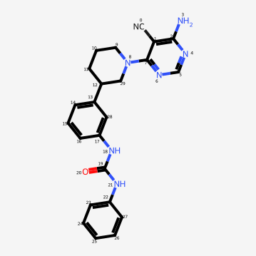 N#Cc1c(N)ncnc1N1CCCC(c2cccc(NC(=O)Nc3ccccc3)c2)C1